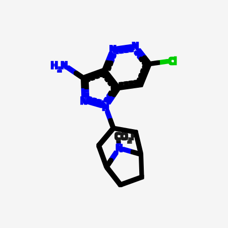 Nc1nn(C2CC3CCC(C2)N3C(=O)O)c2cc(Cl)nnc12